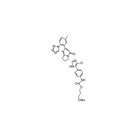 COCCCOC(=O)Nc1ccc(-c2[nH]c([C@@H]3CCc4nc(-c5cc(C)ccc5-n5cnnn5)cc(=O)n43)nc2Cl)cc1